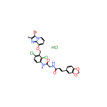 Cc1nc2c(OCc3c(Cl)ccc(N(C)C(=O)CNC(=O)C=Cc4ccc5c(c4)OCO5)c3Cl)cccn2c1Br.Cl